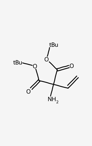 C=CC(N)(C(=O)OC(C)(C)C)C(=O)OC(C)(C)C